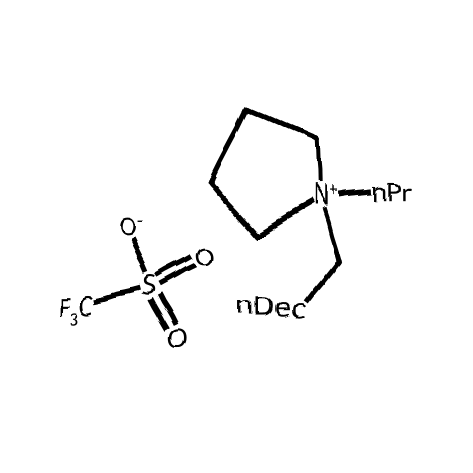 CCCCCCCCCCC[N+]1(CCC)CCCC1.O=S(=O)([O-])C(F)(F)F